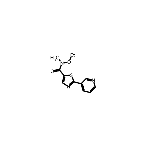 CCON(C)C(=O)c1cnc(-c2cccnc2)s1